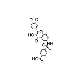 O=C(O)c1ccc(S(=O)(=O)Nc2ccc3oc(-c4ccc5c(c4)OCO5)c(O)c(=O)c3c2)cc1